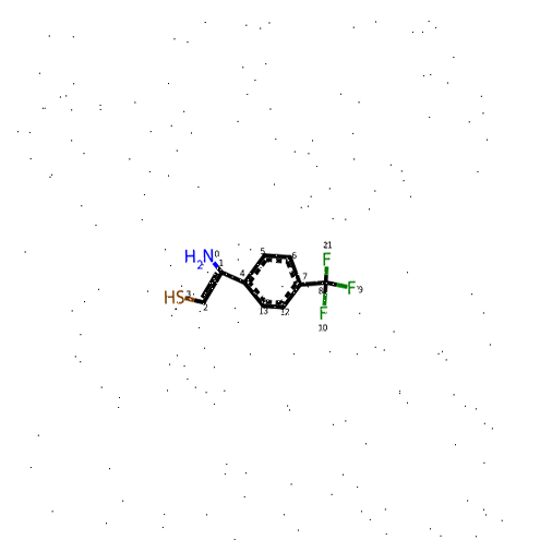 N/C(=C\S)c1ccc(C(F)(F)F)cc1